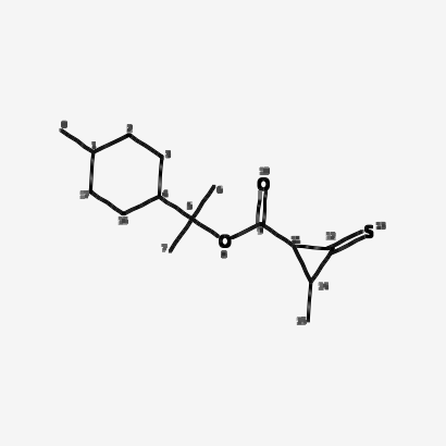 CC1CCC(C(C)(C)OC(=O)C2C(=S)C2C)CC1